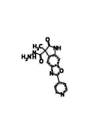 CC1(C(=O)NN)C(=O)Nc2cc3oc(-c4ccncc4)nc3cc21